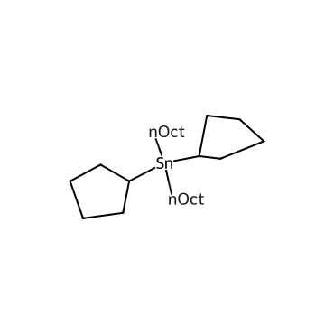 CCCCCCC[CH2][Sn]([CH2]CCCCCCC)([CH]1CCCC1)[CH]1CCCC1